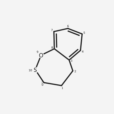 [C]1CCc2ccccc2OS1